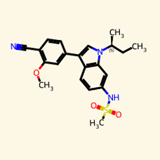 CC[C@H](C)n1cc(-c2ccc(C#N)c(OC)c2)c2ccc(NS(C)(=O)=O)cc21